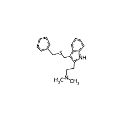 CN(C)CCc1[nH]c2ccccc2c1CSCc1ccccc1